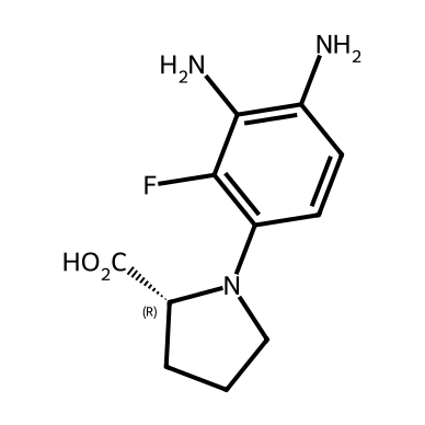 Nc1ccc(N2CCC[C@@H]2C(=O)O)c(F)c1N